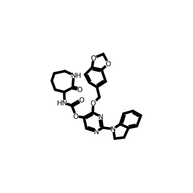 O=C(NC1CCCCNC1=O)Oc1cnc(N2CCc3ccccc32)nc1OCc1ccc2c(c1)OCO2